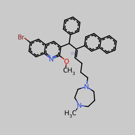 COc1nc2ccc(Br)cc2cc1C(/C(=C/CCCN1CCCN(C)CC1)c1ccc2ccccc2c1)c1ccccc1